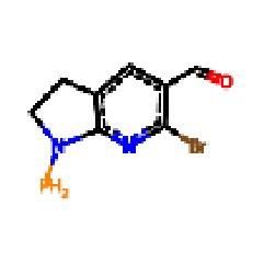 O=Cc1cc2c(nc1Br)N(P)CC2